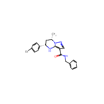 CCc1ccc([C@@H]2C[C@H](C(F)(F)F)n3ncc(C(=O)NCc4ccccc4)c3N2)cc1